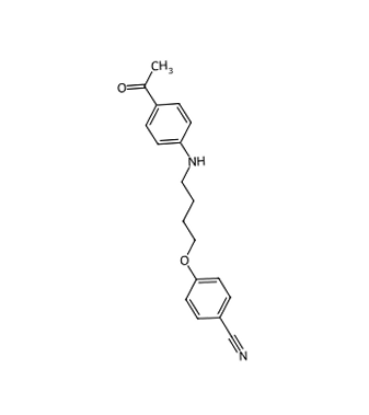 CC(=O)c1ccc(NCCCCOc2ccc(C#N)cc2)cc1